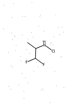 CC(NCl)C(F)F